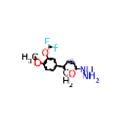 C=C(/C=C\C(=O)NN)c1ccc(OC)c(OC(F)F)c1